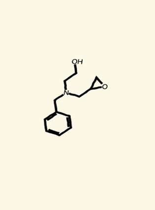 OCCN(Cc1ccccc1)CC1CO1